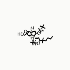 CCCCC(C)(C)C(/C=C/[C@H]1[C@H]2CC3(CO)OC3[C@H]2C[C@H]1O[Si](C)(C)C(C)(C)C)O[Si](C)(C)C(C)(C)C